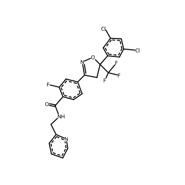 O=C(NCc1ccccn1)c1ccc(C2=NOC(c3cc(Cl)cc(Cl)c3)(C(F)(F)F)C2)cc1F